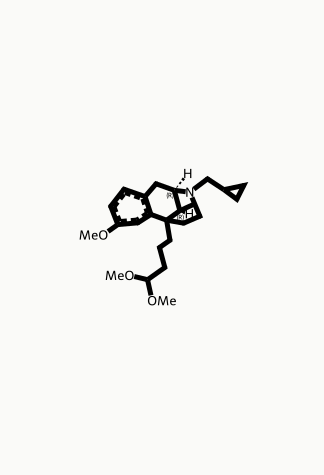 COc1ccc2c(c1)C1(CCCC(OC)OC)CCN(CC3CC3)[C@H](C2)[C@@H]1C